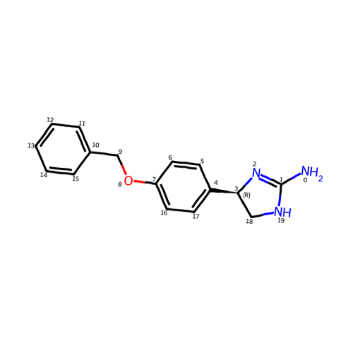 NC1=N[C@H](c2ccc(OCc3ccccc3)cc2)CN1